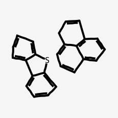 C1=Cc2cccc3cccc(c23)C1.c1ccc2c(c1)sc1ccccc12